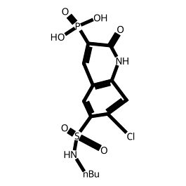 CCCCNS(=O)(=O)c1cc2cc(P(=O)(O)O)c(=O)[nH]c2cc1Cl